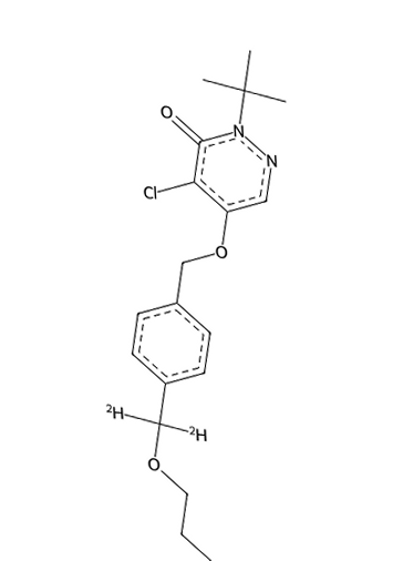 [2H]C([2H])(OCCC)c1ccc(COc2cnn(C(C)(C)C)c(=O)c2Cl)cc1